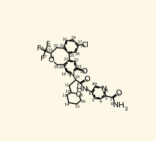 NC(=O)c1ccc(NC(=O)C(CC2CCCCO2)n2cc3c(cc2=O)-c2cc(Cl)ccc2CC(C(F)(F)F)OC3)cn1